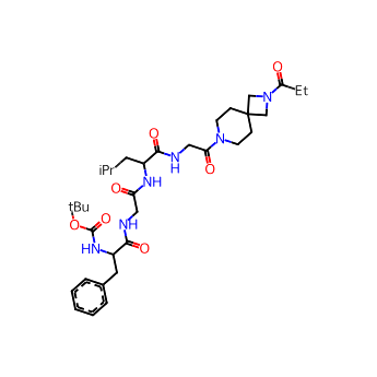 CCC(=O)N1CC2(CCN(C(=O)CNC(=O)C(CC(C)C)NC(=O)CNC(=O)C(Cc3ccccc3)NC(=O)OC(C)(C)C)CC2)C1